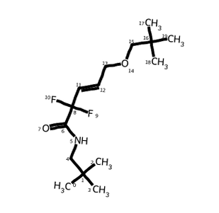 CC(C)(C)CNC(=O)C(F)(F)C=CCOCC(C)(C)C